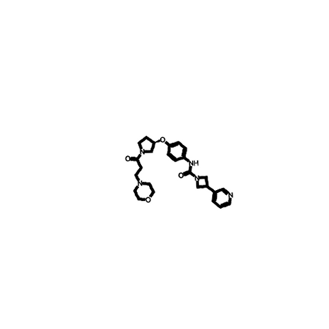 O=C(CCN1CCOCC1)N1CC[C@@H](Oc2ccc(NC(=O)N3CC(c4cccnc4)C3)cc2)C1